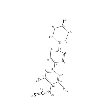 Fc1cc(-c2ccc(C3CCC(I)CC3)cc2)cc(F)c1N=C=S